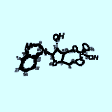 O=P1(O)OCC2O[C@@H](n3cnc4ccccc43)[C@H](O)C2O1